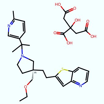 CCOC[C@]1(CCc2cc3ncccc3s2)CCN(C(C)(C)c2ccc(C)nc2)C1.O=C(O)CC(O)(CC(=O)O)C(=O)O